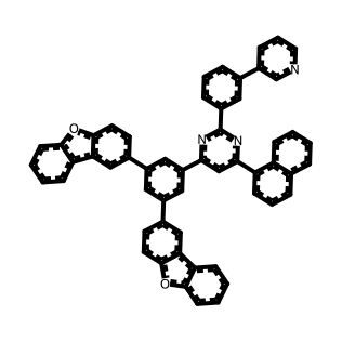 c1cncc(-c2cccc(-c3nc(-c4cc(-c5ccc6oc7ccccc7c6c5)cc(-c5ccc6oc7ccccc7c6c5)c4)cc(-c4cccc5ccccc45)n3)c2)c1